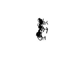 COc1cnc2[nH]cc(C(=O)c3ccc(NCc4ccc(O)nc4)nc3)c2c1